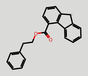 O=C(OCCc1ccccc1)c1cccc2c1-c1ccccc1[C]2